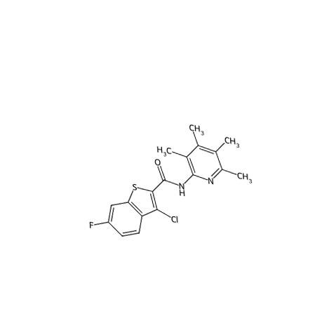 Cc1nc(NC(=O)c2sc3cc(F)ccc3c2Cl)c(C)c(C)c1C